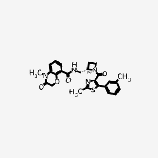 Cc1cccc(-c2sc(C)nc2C(=O)N2CC[C@H]2CNC(=O)c2cccc3c2OCC(=O)N3C)c1